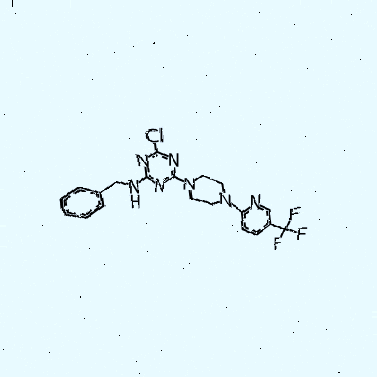 FC(F)(F)c1ccc(N2CCN(c3nc(Cl)nc(NCc4ccccc4)n3)CC2)nc1